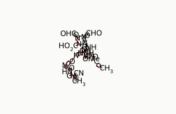 COC(=O)C[C@H](NC(=O)[C@H](CCCNC(=O)CCCc1ccc(C)cc1)NC(=O)CN1CCN(COC=O)CCN(COC=O)CCN(CC(=O)O)CC1)C(=O)N1CCN(CCCOc2ccc3nccc(C(=O)NCC(=O)N4CC(C)(F)C[C@@H]4C#N)c3c2)CC1